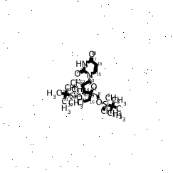 CC(C)(C)[Si](C)(C)OC[C@@]1(CCl)O[C@@H](n2ccc(=O)[nH]c2=O)[C@@H](Cl)[C@@H]1O[Si](C)(C)C(C)(C)C